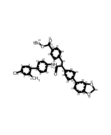 Cc1cc(Cl)ccc1-c1ccc(NC(=O)C(Cc2ccc(C(=O)OC(C)(C)C)cc2)c2ccc(-c3ccc4c(c3)OCO4)cc2)cc1